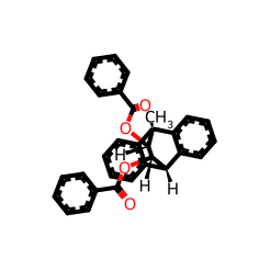 C[C@]12c3ccccc3[C@@H](c3ccccc31)[C@H](OC(=O)c1ccccc1)[C@@H]2OC(=O)c1ccccc1